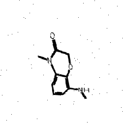 CNc1cccc2c1OCC(=O)N2C